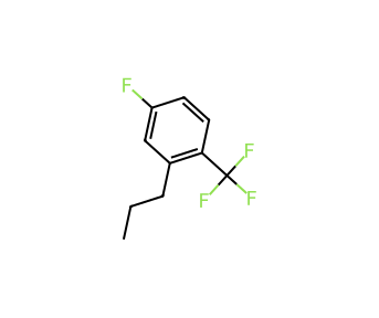 CCCc1cc(F)ccc1C(F)(F)F